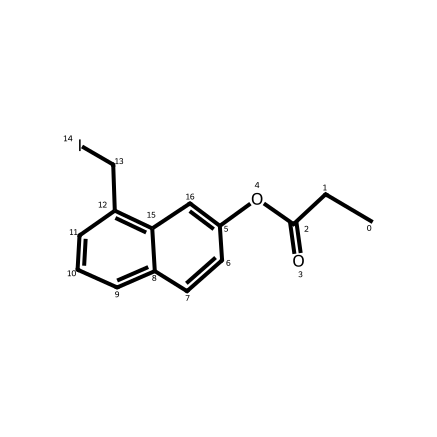 CCC(=O)Oc1ccc2cccc(CI)c2c1